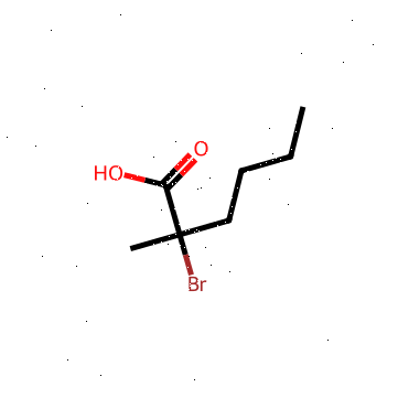 CCCCC(C)(Br)C(=O)O